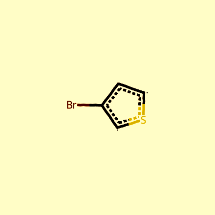 Brc1[c]s[c]c1